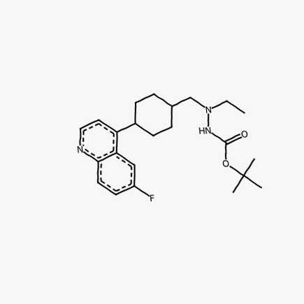 CCN(CC1CCC(c2ccnc3ccc(F)cc23)CC1)NC(=O)OC(C)(C)C